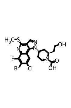 CSc1nc2c(F)c(Br)c(Cl)cc2c2c1cnn2[C@H]1CCN(C(=O)O)[C@H](CCO)C1